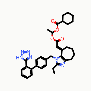 CCc1nc2c(n1Cc1ccc(-c3ccccc3-c3nnn[nH]3)cc1)C(=CC(=O)OC(C)OC(=O)C1CCCCC1)CCCC2